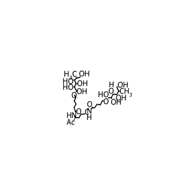 CC(=O)[C@H](CCCCNC(=O)CCCCOC(O)C(O)C(O)C(O)C(C)CO)NC(=O)CCCCOC(O)C(O)C(O)C(O)C(C)CO